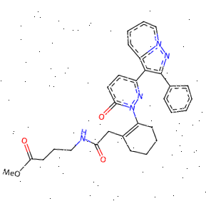 COC(=O)CCCNC(=O)CC1=C(n2nc(-c3c(-c4ccccc4)nn4ccccc34)ccc2=O)CCCC1